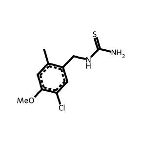 COc1cc(C)c(CNC(N)=S)cc1Cl